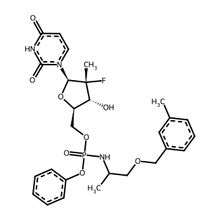 Cc1cccc(COCC(C)NP(=O)(OC[C@H]2O[C@@H](n3ccc(=O)[nH]c3=O)[C@](C)(F)[C@@H]2O)Oc2ccccc2)c1